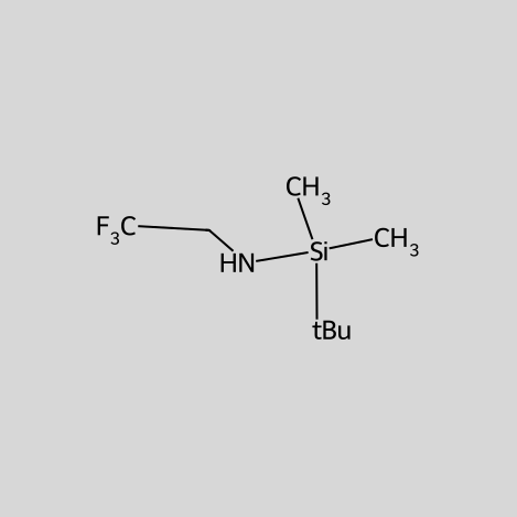 CC(C)(C)[Si](C)(C)NCC(F)(F)F